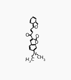 CCN(CC)c1ccc2cc(C(=O)C=Cc3occ4ccccc34)c(=O)oc2c1